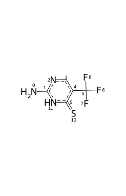 Nc1ncc(C(F)(F)F)c(=S)[nH]1